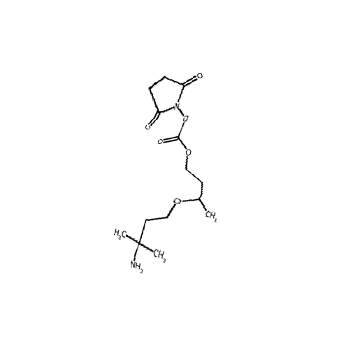 CC(CCOC(=O)ON1C(=O)CCC1=O)OCCC(C)(C)N